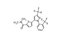 CN(C)C(=O)c1ccc(-c2cc(C(F)(F)F)nn2-c2ccccc2C(F)(F)F)s1